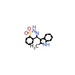 Cc1[nH]c2ccccc2c1C1=NNS(=O)(=O)c2ccccc21